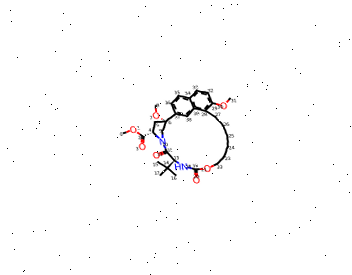 COC(=O)[C@@H]1C[C@]2(OC)CN1C(=O)[C@H](C(C)(C)C)NC(=O)OCCCCCCc1c(OC)ccc3ccc2cc13